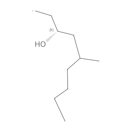 [CH2]C[C@@H](O)CC(C)CCCC